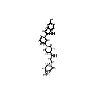 Cc1ccc2[nH]c(-c3cccc(N4CCC(NCCN5CCN(C(C)C)CC5)CC4)c3)cc2c1